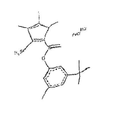 Cl.Cl.[CH2]=[Ti]([O]c1cc(C)cc(C(C)(C)C)c1)[C]1=C([SiH3])C(C)=C(C)C1C